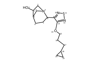 OC1CN2CC1CCC2c1nsnc1OCCCC1CC1